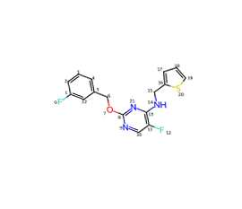 Fc1cccc(COc2ncc(F)c(NCc3cccs3)n2)c1